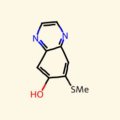 CSc1cc2nccnc2cc1O